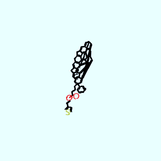 O=C(CCCC1(c2ccccc2)c2c3c4c5c6cc7c8c9c%10c%11c(cc%12c%13c%14c(cc(c%15c2c2c4c(c85)c%10c(c%13%11)c2c%14%15)C1CCC3C=6)C%12)CC=9C7)OCCc1ccsc1